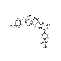 CCS(=O)(=O)c1ccc(C(CO)NC(=O)c2cnc(C(NCc3ccc(Cl)cc3)C(C)C)c(F)c2)cc1